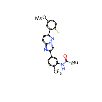 COc1ccc(F)c(-c2ccc3nc(-c4ccc(C(F)(F)F)c(NC(=O)C(C)(C)C)c4)cn3n2)c1